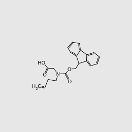 C=CCCN(CC(=O)O)C(=O)OCC1c2ccccc2-c2ccccc21